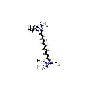 CC[N+](CC)(CC)CCCCCCCCCCCCC[N+](CC)(CC)CC